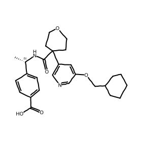 C[C@H](NC(=O)C1(c2cncc(OCC3CCCCC3)c2)CCOCC1)c1ccc(C(=O)O)cc1